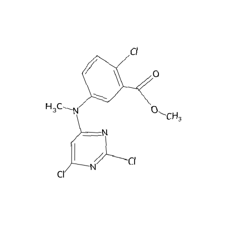 COC(=O)c1cc(N(C)c2cc(Cl)nc(Cl)n2)ccc1Cl